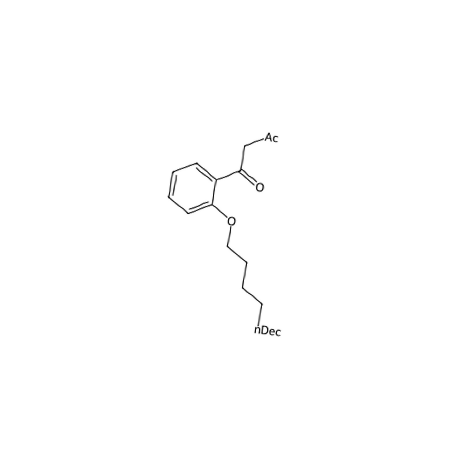 CCCCCCCCCCCCCCOc1ccccc1C(=O)CC(C)=O